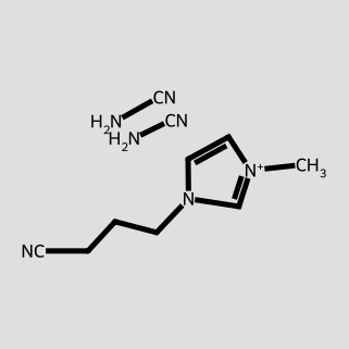 C[n+]1ccn(CCCC#N)c1.N#CN.N#CN